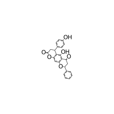 O=C1CC(c2ccc(O)cc2)c2c(cc3c(c2O)C(=O)CC(c2ccccc2)O3)O1